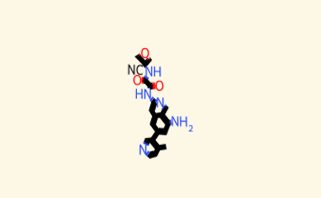 Cc1ccncc1-c1cc(N)c2cnc(NC(=O)C(=O)NC3(C#N)COC3)cc2c1